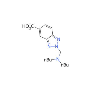 CCCCN(CCCC)Cn1nc2ccc(C(=O)O)cc2n1